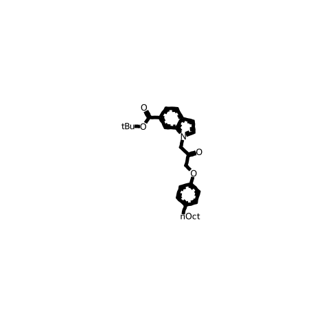 CCCCCCCCc1ccc(OCC(=O)Cn2ccc3ccc(C(=O)OC(C)(C)C)cc32)cc1